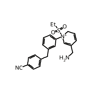 CCS(=O)(=O)[N+]1(c2cccc(Cc3ccc(C#N)cc3)c2)C=C(CN)C=CC1